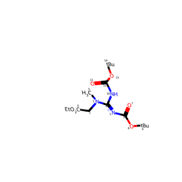 CCOC(=O)CN(C)/C(=N/C(=O)OC(C)(C)C)NC(=O)OC(C)(C)C